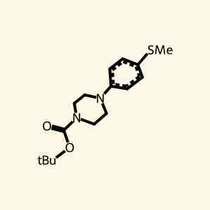 CSc1ccc(N2CCN(C(=O)OC(C)(C)C)CC2)cc1